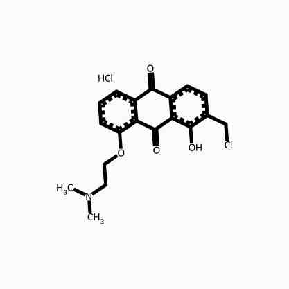 CN(C)CCOc1cccc2c1C(=O)c1c(ccc(CCl)c1O)C2=O.Cl